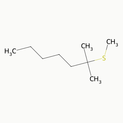 CCCCCC(C)(C)SC